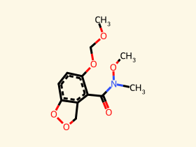 COCOc1ccc2c(c1C(=O)N(C)OC)COO2